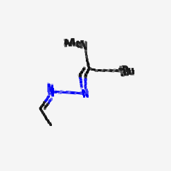 C/C=N\N=C(/NC)C(C)(C)C